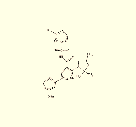 CC(C)COc1cccc(-c2cnc(N3CC(C)CC3(C)C)c(C(=O)NS(=O)(=O)c3cccc(C(C)C)n3)c2)c1